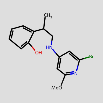 COc1cc(NCC(C)c2ccccc2O)cc(Br)n1